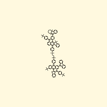 CC(C)(C)c1ccc(N2c3cc(N4c5ccccc5C5(C)CCCCC45C)ccc3B3C4=C(c5ccccc5C4(C)C)N(c4ccc(C(C)(C)CCC(C)(C)c5ccc(N6c7ccc(C(C)(C)C)cc7B7c8sc9ccccc9c8N(c8ccc(C(C)(C)C)cc8)c8cc(-n9c%10ccccc%10c%10ccccc%109)cc6c87)cc5)cc4)c4cccc2c43)cc1